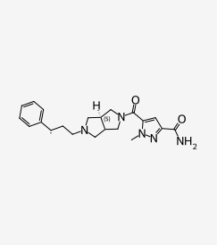 Cn1nc(C(N)=O)cc1C(=O)N1CC2CN(CC[CH]c3ccccc3)C[C@H]2C1